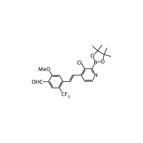 COc1cc(/C=C/c2ccnc(B3OC(C)(C)C(C)(C)O3)c2Cl)c(C(F)(F)F)cc1C=O